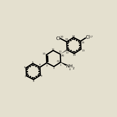 N[C@H]1CC(c2ccccc2)=CC[C@@H]1c1ccc(Cl)cc1Cl